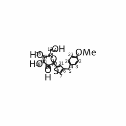 COc1ccc(Cc2csc([C@@H]3O[C@H](CO)[C@@H](O)[C@H](O)[C@H]3O)c2)cc1